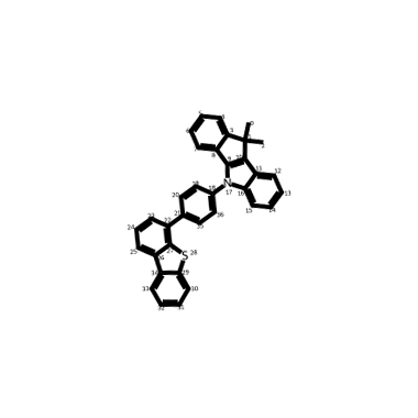 CC1(C)c2ccccc2-c2c1c1ccccc1n2-c1ccc(-c2cccc3c2sc2ccccc23)cc1